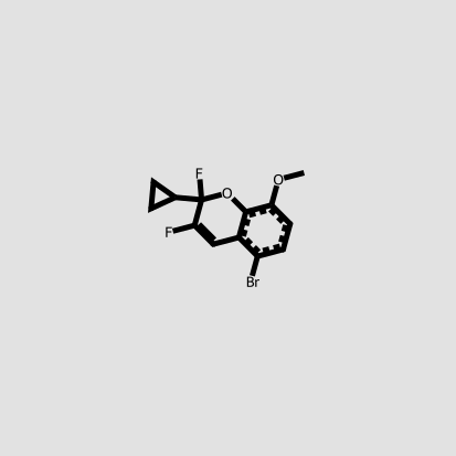 COc1ccc(Br)c2c1OC(F)(C1CC1)C(F)=C2